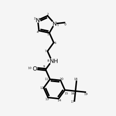 Cn1cncc1CCNC(=O)c1cccc(C(C)(C)C)c1